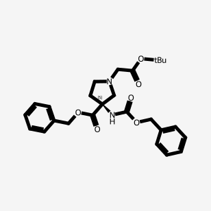 CC(C)(C)OC(=O)CN1CC[C@@](NC(=O)OCc2ccccc2)(C(=O)OCc2ccccc2)C1